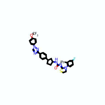 CC(C)c1cc(F)ccc1N1CCS/C1=N\C(=O)NC1CCC(c2ccc(-c3ncn(-c4ccc(OC(F)(F)F)cc4)n3)cc2)C1